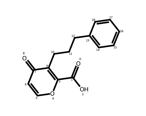 O=C(O)c1occc(=O)c1CCCc1ccccc1